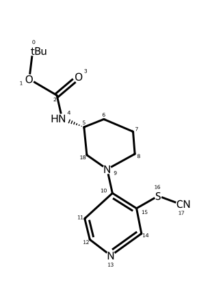 CC(C)(C)OC(=O)N[C@@H]1CCCN(c2ccncc2SC#N)C1